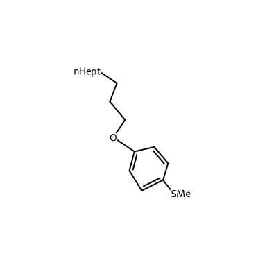 CCCCCCCCCCOc1ccc(SC)cc1